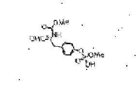 COC(=O)N[C@H](C=O)Cc1ccc(OP(=O)(O)OC)cc1